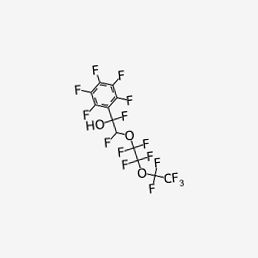 OC(F)(c1c(F)c(F)c(F)c(F)c1F)C(F)OC(F)(F)C(F)(F)OC(F)(F)C(F)(F)F